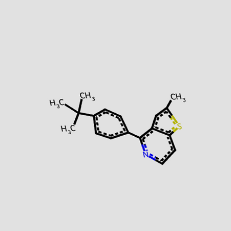 Cc1cc2c(-c3ccc(C(C)(C)C)cc3)nccc2s1